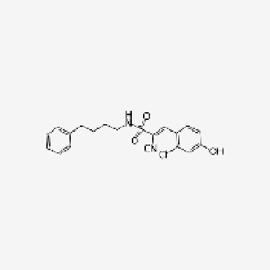 N#CC(=Cc1ccc(O)cc1Cl)S(=O)(=O)NCCCCc1ccccc1